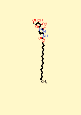 CCCCCCCCCCCCCCCCCCOC(=O)Nc1ccn([C@@H]2O[C@H](CO)[C@@H](O)[C@@H]2O)c(=O)n1